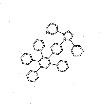 c1ccc(-c2cc(-c3ccccc3)c(-c3ccc(-n4c(-c5cccnc5)ccc4-c4cccnc4)cc3)c(-c3ccccc3)c2-c2ccccc2)cc1